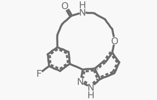 O=C1CCc2cc(F)cc(c2)-c2n[nH]c3ccc(cc23)OCCCN1